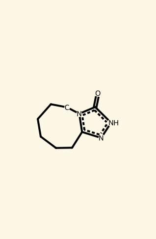 O=c1[nH]nc2n1CCCCCC2